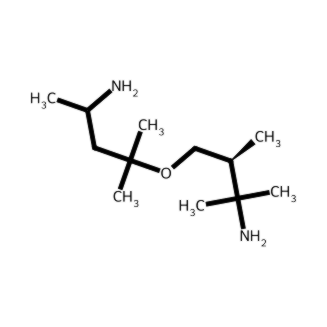 CC(N)CC(C)(C)OC[C@@H](C)C(C)(C)N